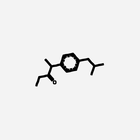 CCC(=O)C(C)c1ccc(CC(C)C)cc1